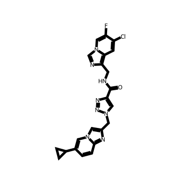 O=C(NCc1ncn2cc(F)c(Cl)cc12)c1cn(Cc2cn3cc(C4CC4)ccc3n2)nn1